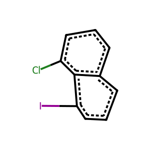 Clc1cccc2cccc(I)c12